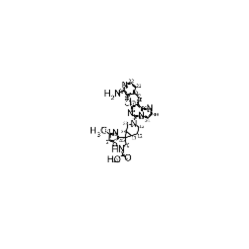 Cc1csc(C2(CNC(=O)O)C3CCN(c4ncc(Sc5ccnc(N)c5Cl)c5nccn45)CC32)n1